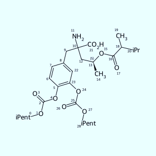 CCCC(C)OC(=O)Oc1ccc(CC(N)(C[C@H](C)OC(=O)C(C)C(C)C)C(=O)O)cc1OC(=O)OC(C)CCC